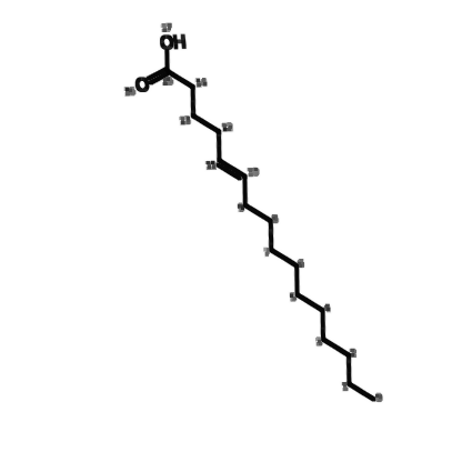 CCCCCCCCCCC=CCCCC(=O)O